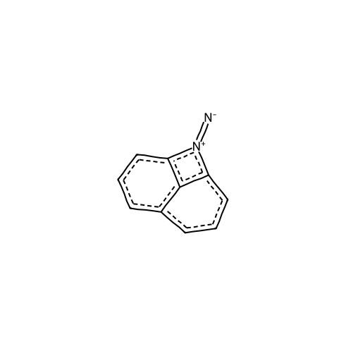 [N-]=[n+]1c2cccc3cccc1c32